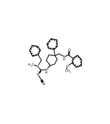 COc1ccccc1C(=O)NCC1(c2ccccc2)CCC(N/C(=N\C#N)N(C)Cc2ccccc2)CC1